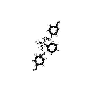 Cc1ccc(SOP(=O)(OSc2ccc(C)cc2)c2ccccc2)cc1